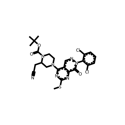 CSc1nc(N2CCN(C(=O)OC(C)(C)C)C(CC#N)C2)c2cnn(-c3c(Cl)cccc3Cl)c(=O)c2n1